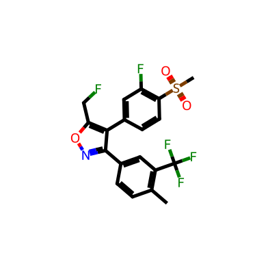 Cc1ccc(-c2noc(CF)c2-c2ccc(S(C)(=O)=O)c(F)c2)cc1C(F)(F)F